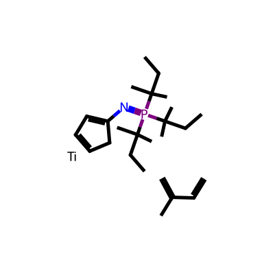 C=CC(=C)C.CCC(C)(C)P(=NC1=CC=CC1)(C(C)(C)CC)C(C)(C)CC.[Ti]